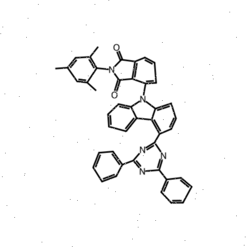 Cc1cc(C)c(N2C(=O)c3cccc(-n4c5ccccc5c5c(-c6nc(-c7ccccc7)nc(-c7ccccc7)n6)cccc54)c3C2=O)c(C)c1